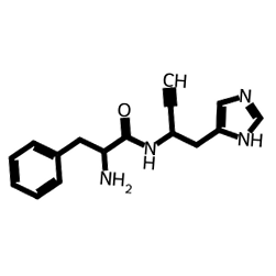 C#CC(Cc1cnc[nH]1)NC(=O)C(N)Cc1ccccc1